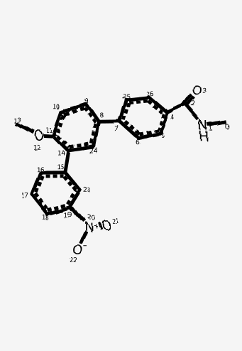 CNC(=O)c1ccc(-c2ccc(OC)c(-c3cccc([N+](=O)[O-])c3)c2)cc1